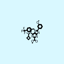 COC(=O)c1nc(N[C@H](C)C2CCC2)c2c(n1)nc(-c1cccc(OC)c1)n2Cc1ccc(C(F)(F)F)cc1